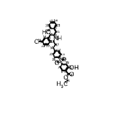 CCOC(=O)c1ccc(S(=O)(=O)c2ccc(CCCNC(Cc3ccccc3)[C@H](O)c3cccc(Cl)c3)cc2)cc1O